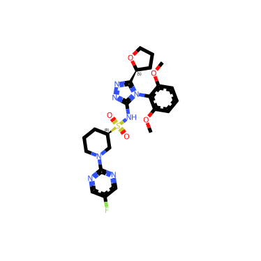 COc1cccc(OC)c1-n1c(NS(=O)(=O)[C@@H]2CCCN(c3ncc(F)cn3)C2)nnc1[C@@H]1CCCO1